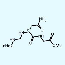 CCCCCCNCN[C@H](CC(N)=O)C(=O)NCC(=O)OC